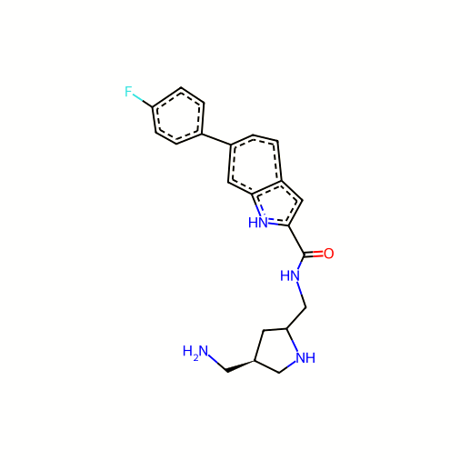 NC[C@@H]1CNC(CNC(=O)c2cc3ccc(-c4ccc(F)cc4)cc3[nH]2)C1